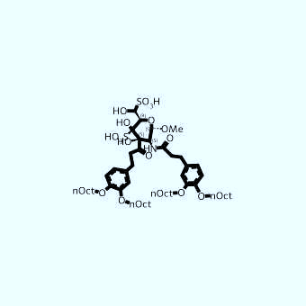 CCCCCCCCOc1ccc(CCC(=O)N[C@@H]2[C@@H](OC)O[C@H](C(O)S(=O)(=O)O)[C@](O)(S(=O)(=O)O)[C@@]2(O)C(=O)CCc2ccc(OCCCCCCCC)c(OCCCCCCCC)c2)cc1OCCCCCCCC